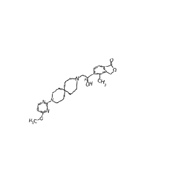 COc1ccnc(N2CCC3(CCN(C[C@H](O)c4ccc5c(c4C)COC5=O)CC3)CC2)n1